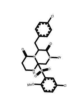 COc1ccc(Cl)cc1S(=O)(=O)C12CN(C(C)C)C(=O)C(Cc3ccc(Cl)cc3)N1C(=O)CCN2